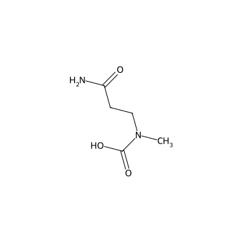 CN(CCC(N)=O)C(=O)O